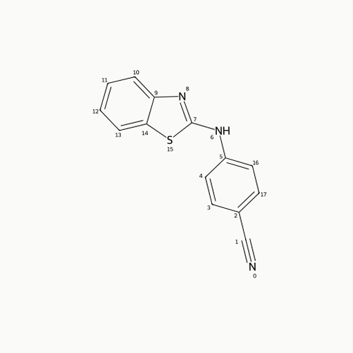 N#Cc1ccc(Nc2nc3ccccc3s2)cc1